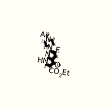 CCOC(=O)c1c[nH]c2nc(N3CCN(C(C)=O)CC3)c(F)cc2c1=O